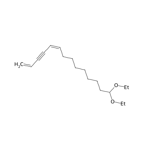 C=CC#C/C=C\CCCCCCCC(OCC)OCC